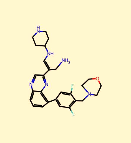 NC/C(=C\NC1CCNCC1)c1cnc2cccc(-c3cc(F)c(CN4CCOCC4)c(F)c3)c2n1